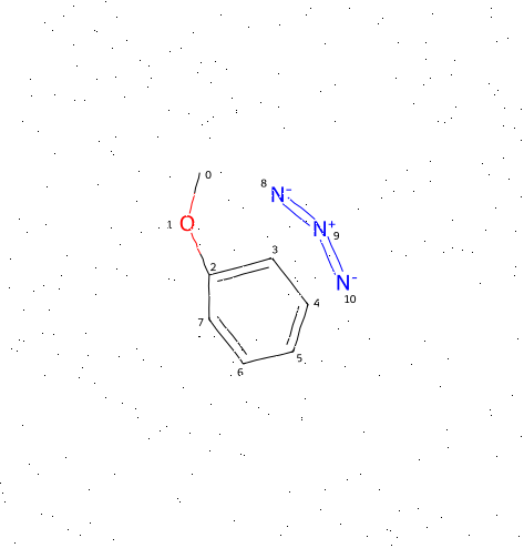 COc1ccccc1.[N-]=[N+]=[N-]